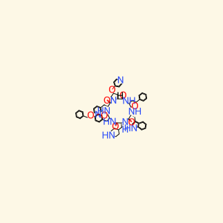 O=C1N[C@@H](Cc2cccnc2)C(=O)N2C[C@H](Oc3ccncc3)C[C@H]2C(=O)N[C@@H](CCc2ccccc2)C(=O)N[C@H](Cc2c[nH]c3ccccc23)C(=O)N[C@@H](CC2CCNCC2)C(=O)N[C@H]1Cc1ccc(OCc2ccccc2)cc1